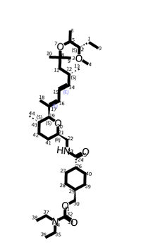 CC[C@H](OC)C(C)OC(C)(C)C[C@H](C)/C=C/C=C(\C)[C@H]1O[C@@H](CNC(=O)[C@H]2CC[C@H](COC(=O)N(CC)CC)CC2)CC[C@@H]1C